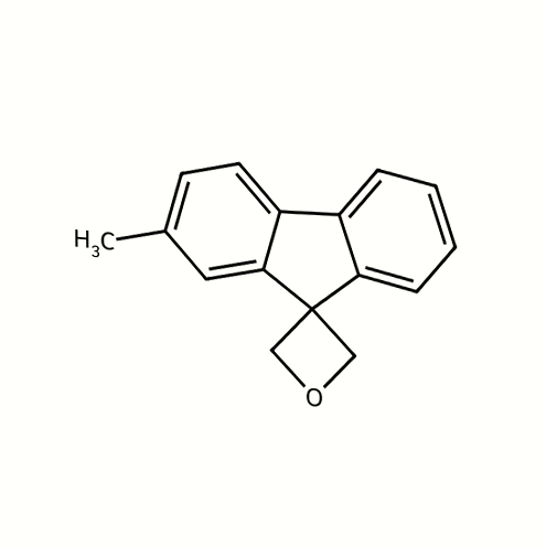 Cc1ccc2c(c1)C1(COC1)c1ccccc1-2